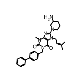 CC(C)=CCn1c(N2CCCC(N)C2)nc2c1c(=O)n(Cc1ccc(-c3ccccc3)cc1)c(=O)n2C